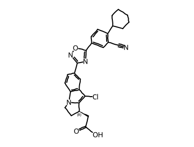 N#Cc1cc(-c2nc(-c3ccc4c(c3)c(Cl)c3n4CC[C@@H]3CC(=O)O)no2)ccc1C1CCCCC1